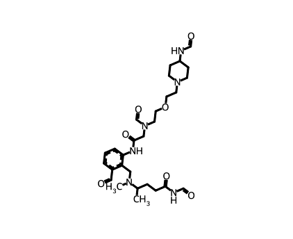 CC(CCC(=O)NC=O)N(C)Cc1c(C=O)cccc1NC(=O)CN(C=O)CCOCCN1CCC(NC=O)CC1